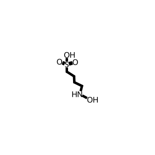 O=S(=O)(O)CCCCNO